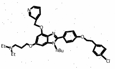 CCCCn1c(-c2ccc(OCCc3ccc(Cl)cc3)cc2)nc2c(OCc3cccnc3)cc(OCCCN(CC)CC)cc21